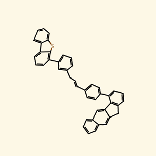 C(=C\c1ccc(-c2cccc3c2-c2cc4ccccc4cc2C3)cc1)/Cc1cccc(-c2cccc3c2sc2ccccc23)c1